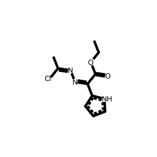 CCOC(=O)C(=NN=C(C)Cl)c1ccc[nH]1